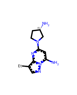 CCc1cnn2c(N)cc(N3CC[C@H](N)C3)nc12